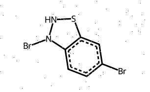 Brc1ccc2c(c1)SNN2Br